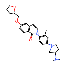 Cc1cc(N2CCC(N(C)C)C2)ccc1-n1ccc2cc(OCC3CCCO3)ccc2c1=O